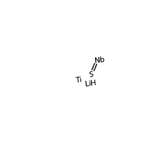 [LiH].[S]=[Nb].[Ti]